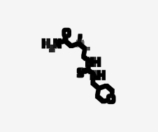 C[C@@H]([CH]CNC(=S)NCC1CCOCC1)CC(N)=O